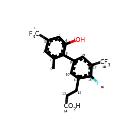 Cc1cc(C(F)(F)F)cc(O)c1-c1cc(CCC(=O)O)c(F)c(C(F)(F)F)c1